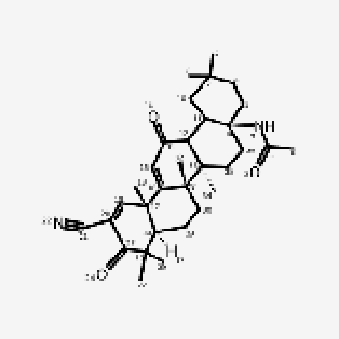 CC(=O)N[C@]12CCC(C)(C)CC1C1C(=O)C=C3[C@@]4(C)C=C(C#N)C(=O)C(C)(C)[C@@H]4CC[C@@]3(C)[C@]1(C)CC2